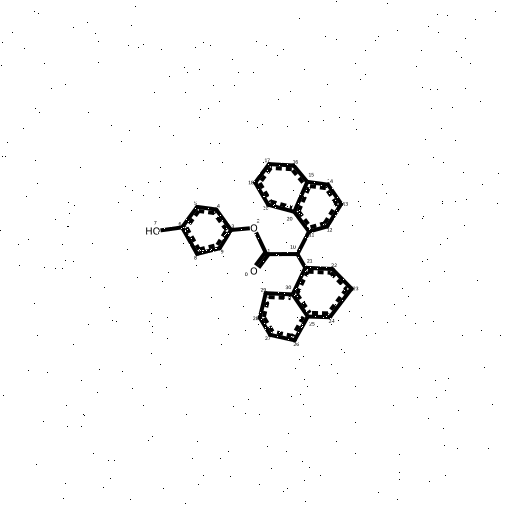 O=C(Oc1ccc(O)cc1)C(c1cccc2ccccc12)c1cccc2ccccc12